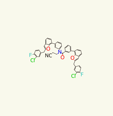 N#CCCN(C(=O)c1cccc(-c2cccc3cc(Cc4ccc(F)c(Cl)c4)oc23)c1)c1cccc(-c2cccc3cc(Cc4ccc(F)c(Cl)c4)oc23)c1